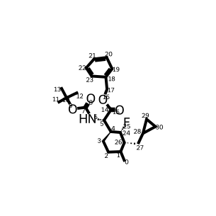 CC1CC[C@@H]([C@H](NC(=O)OC(C)(C)C)C(=O)OCc2ccccc2)[C@H](F)[C@@H]1CC1CC1